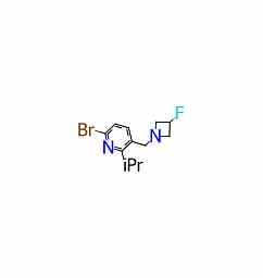 CC(C)c1nc(Br)ccc1CN1CC(F)C1